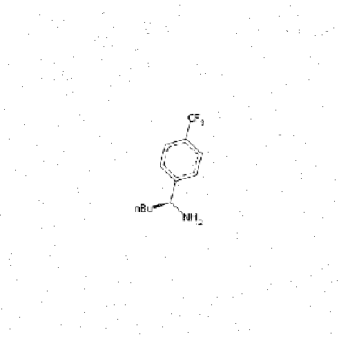 CCCC[C@H](N)c1ccc(C(F)(F)F)cc1